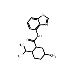 CC1CCC(C(C)C)C(C(=O)Nc2cccc3ocnc23)C1